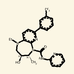 CCN1C[C@H](O)[C@@H](C)N(C(=O)Nc2ccccn2)c2nc(-c3cccc(C(F)(F)F)c3)ccc21